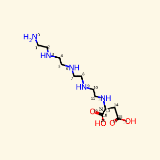 NCCNCCNCCNCCN[C@@H](CC(=O)O)C(=O)O